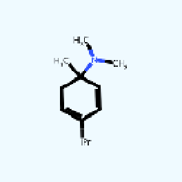 CC(C)C1=CCC(C)(N(C)C)C=C1